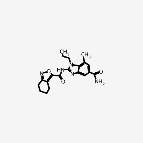 CCCn1c(NC(=O)c2onc3c2CCCC3)nc2cc(C(N)=O)cc(C)c21